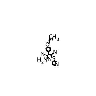 COCCOc1ccc(-c2c(C#N)c(N)nc(Sc3cccnc3)c2C#N)cc1